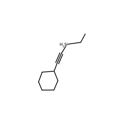 CC[SiH2]C#CC1CCCCC1